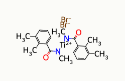 Cc1cccc(C(=O)[N](C)[Ti+2][N](C)C(=O)c2cccc(C)c2C)c1C.[Br-].[Br-]